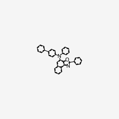 c1ccc(-c2ccc(N(c3ccccc3)c3cc4ccccc4c4nc(-c5ccccc5)oc34)cc2)cc1